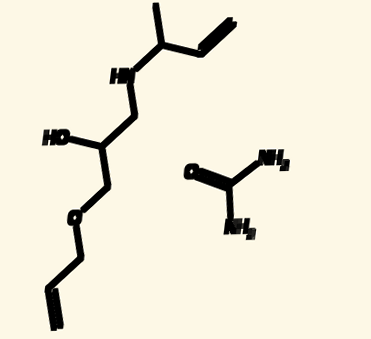 C=CCOCC(O)CNC(C)C=C.NC(N)=O